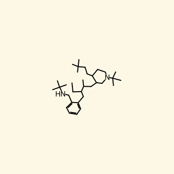 CCC(Cc1ccccc1CNC(C)(C)C)C(C)CC1CN(C(C)(C)C)CCC1CCC(C)(C)C